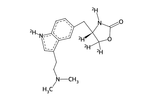 [2H]N1C(=O)OC([2H])([2H])[C@]1([2H])Cc1ccc2c(c1)c(CCN(C)C)cn2[2H]